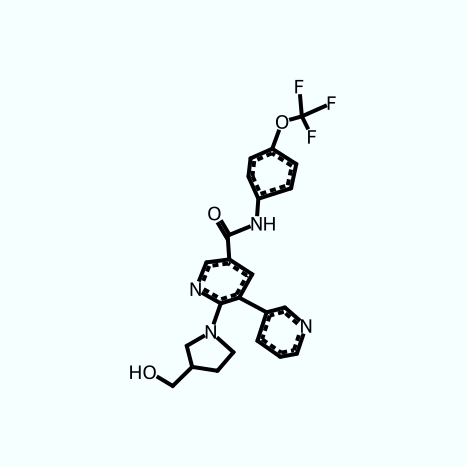 O=C(Nc1ccc(OC(F)(F)F)cc1)c1cnc(N2CCC(CO)C2)c(-c2cccnc2)c1